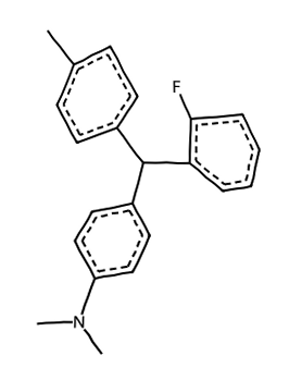 Cc1ccc(C(c2ccc(N(C)C)cc2)c2ccccc2F)cc1